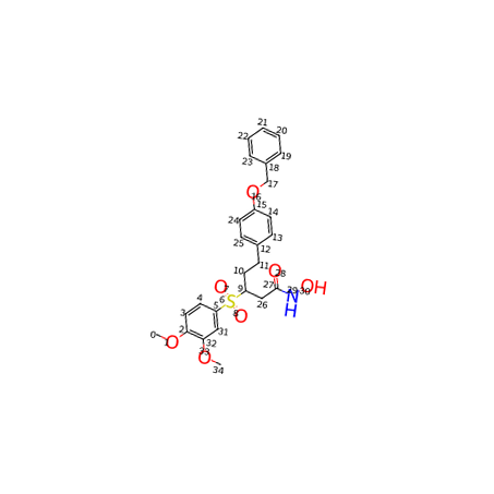 COc1ccc(S(=O)(=O)C(CCc2ccc(OCc3ccccc3)cc2)CC(=O)NO)cc1OC